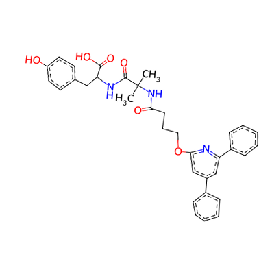 CC(C)(NC(=O)CCCOc1cc(-c2ccccc2)cc(-c2ccccc2)n1)C(=O)NC(Cc1ccc(O)cc1)C(=O)O